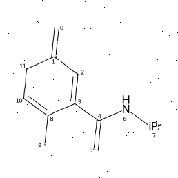 C=C1C=C(C(=C)NC(C)C)C(C)=CC1